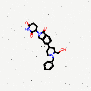 O=C1CCC(N2Cc3cc(C4CCN(Cc5ccccc5)C(CO)C4)ccc3C2=O)C(=O)N1